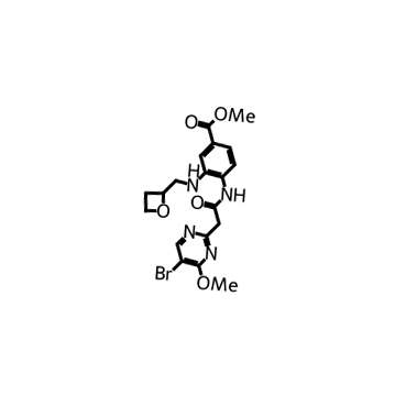 COC(=O)c1ccc(NC(=O)Cc2ncc(Br)c(OC)n2)c(NCC2CCO2)c1